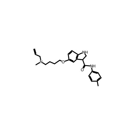 C=CCN(C)CCCCOc1ccc2c(c1)C(C(=O)Nc1ccc(C)cc1)CN2